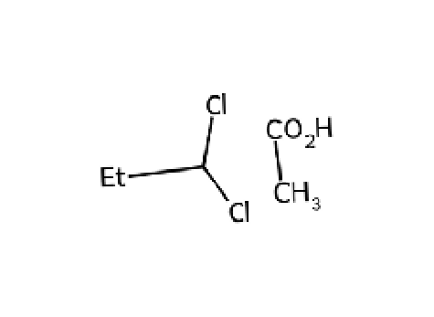 CC(=O)O.CCC(Cl)Cl